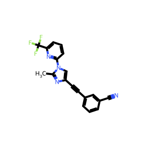 Cc1nc(C#Cc2cccc(C#N)c2)cn1-c1cccc(C(F)(F)F)n1